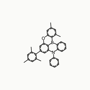 Cc1cc(C)c(-c2cc3c4c(c2)N(c2ccccc2)c2ccccc2B4c2c(C)cc(C)cc2O3)c(C)c1